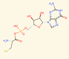 Nc1nc2c(ncn2[C@@H]2O[C@H](COP(=O)(O)OC(=O)[C@@H](N)CS)[C@@H](O)[C@H]2O)c(=O)[nH]1